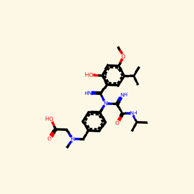 COc1cc(O)c(C(=N)N(C(=N)C(=O)NC(C)C)c2ccc(CN(C)CC(=O)O)cc2)cc1C(C)C